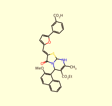 CCOC(=O)C1=C(C)NC2S/C(=C\c3ccc(-c4cccc(C(=O)O)c4)o3)C(=O)N2C1c1c(OC)ccc2ccccc12